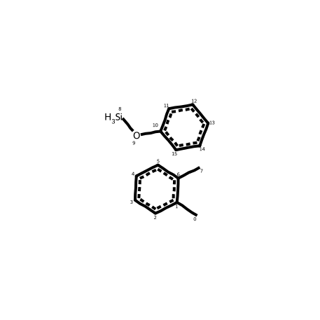 Cc1ccccc1C.[SiH3]Oc1ccccc1